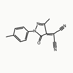 CC1=NN(c2ccc(C)cc2)C(=O)C1=C(C#N)C#N